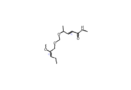 CC/C=C(\COCOC(C)/C=C/C(=O)NC)OC